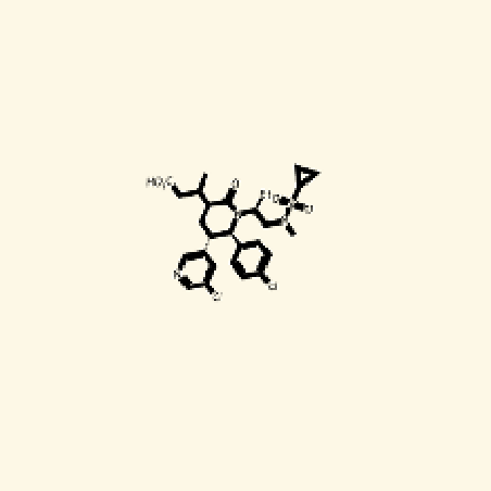 CC[C@@H](CN(C)S(=O)(=O)C1CC1)N1C(=O)C(C(C)CC(=O)O)C[C@@H](c2cncc(Cl)c2)[C@@H]1c1ccc(Cl)cc1